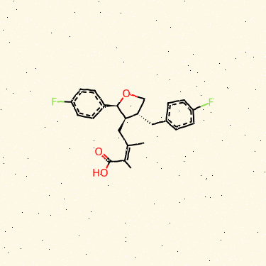 C/C(C[C@@H]1[C@@H](Cc2ccc(F)cc2)CO[C@@H]1c1ccc(F)cc1)=C(\C)C(=O)O